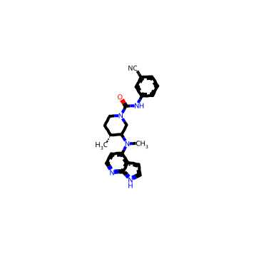 C[C@@H]1CCN(C(=O)Nc2cccc(C#N)c2)CC1N(C)c1ccnc2[nH]ccc12